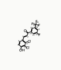 O=C(/C=C/c1ccc(O)c(Cl)c1Cl)c1cc(F)cc(C(F)(F)F)c1